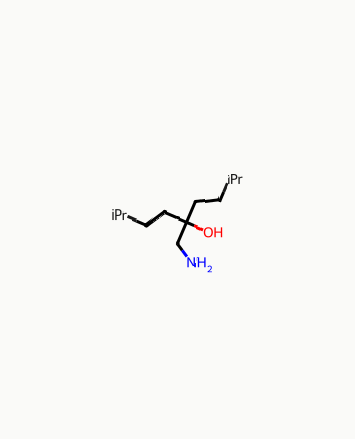 CC(C)CCC(O)(CN)CCC(C)C